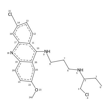 CCC(CCl)NCCCNc1c2ccc(Cl)cc2nc2ccc(OC)cc12